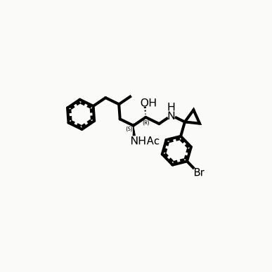 CC(=O)N[C@@H](CC(C)Cc1ccccc1)[C@H](O)CNC1(c2cccc(Br)c2)CC1